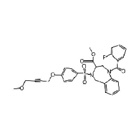 COCC#CCOc1ccc(S(=O)(=O)N2Cc3ccccc3N(C(=O)c3ccccc3F)CC2C(=O)OC)cc1